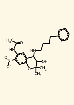 CC(=O)Nc1cc2c(cc1[N+](=O)[O-])OC(C)(C)C(O)C2NCCCCc1ccccc1